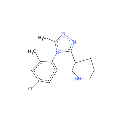 Cc1cc(Cl)ccc1-n1c(C)nnc1C1CCCNC1